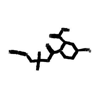 COC(=O)[C@H]1C[C@@H](N)CCN1C(=O)OC(C)(C)CN=[N+]=[N-]